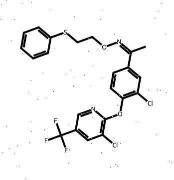 CC(=NOCCSc1ccccc1)c1ccc(Oc2ncc(C(F)(F)F)cc2Cl)c(Cl)c1